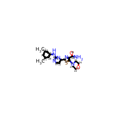 Cc1cc(C)cc(Nc2nccc(-c3nc(C(N)=O)c(N4CCOCC4)s3)n2)c1